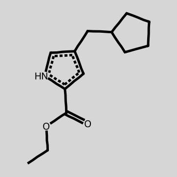 CCOC(=O)c1cc(CC2CCCC2)c[nH]1